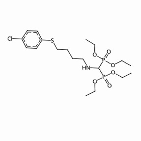 CCOP(=O)(OCC)C(NCCCCSc1ccc(Cl)cc1)P(=O)(OCC)OCC